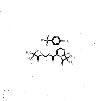 CC(C)(C)C(=O)OCOC(=O)C1=CCS[C@@H]2N1C(=O)C2(C)N.Cc1ccc(S(=O)(=O)O)cc1